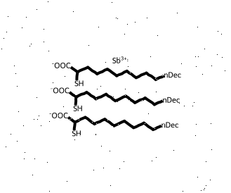 CCCCCCCCCCCCCCCCCCC(S)C(=O)[O-].CCCCCCCCCCCCCCCCCCC(S)C(=O)[O-].CCCCCCCCCCCCCCCCCCC(S)C(=O)[O-].[Sb+3]